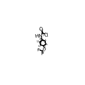 O=C(Cl)Nc1ccc(OC(F)F)cc1